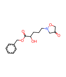 O=C1CON(CCCC(O)C(=O)OCc2ccccc2)C1